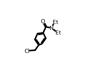 CCN(CC)C(=O)c1ccc(CCl)cc1